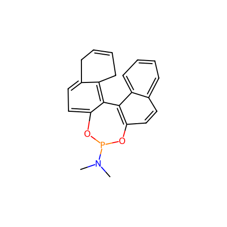 CN(C)p1oc2ccc3c(c2c2c(ccc4ccccc42)o1)CC=CC3